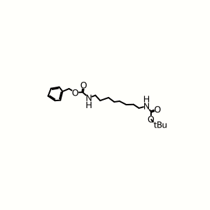 CC(C)(C)OC(=O)NCCCCCCCCNC(=O)OCc1ccccc1